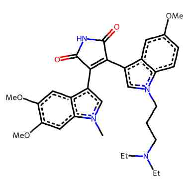 CCN(CC)CCCn1cc(C2=C(c3cn(C)c4cc(OC)c(OC)cc34)C(=O)NC2=O)c2cc(OC)ccc21